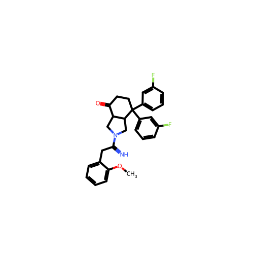 COc1ccccc1CC(=N)N1CC2C(=O)CCC(c3cccc(F)c3)(c3cccc(F)c3)C2C1